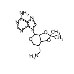 CC1(C)OC2C(O1)[C@H](CN)COC2n1cnc2c(N)ncnc21